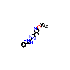 CC(=O)C(C)(C)COc1cc(C)c(-c2cnc(-c3ncc(-c4ccccc4)[nH]3)nc2)cn1